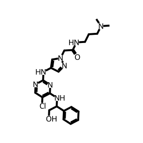 CN(C)CCCNC(=O)Cn1cc(Nc2ncc(Cl)c(NC(CO)c3ccccc3)n2)cn1